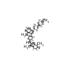 Cc1c(F)ccc2c1nc(Nc1ccc(-c3cn(C4CCC(N5CCN(C)CC5)CC4)c4ncnc(N)c34)cc1)n2C